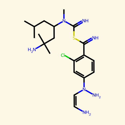 CC(C)CC(CC(C)(C)N)N(C)C(=N)SC(=N)c1ccc(N(N)/C=C\N)cc1Cl